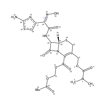 CN(C)C(=O)OCC1=C(C(=O)OCOC(=O)C(C)(C)C)N2C(=O)C(NC(=O)/C(=N\O)c3csc(N)n3)[C@@H]2SC1